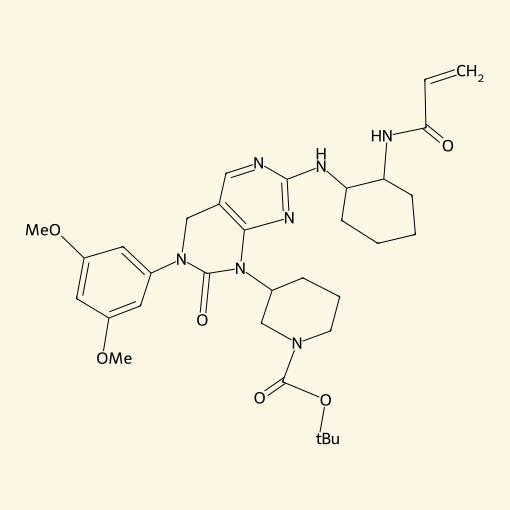 C=CC(=O)NC1CCCCC1Nc1ncc2c(n1)N(C1CCCN(C(=O)OC(C)(C)C)C1)C(=O)N(c1cc(OC)cc(OC)c1)C2